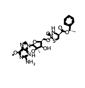 COc1nc(N)nc2c1ncn2C1O[C@H](CO[P@]2(=O)N[C@@H](C(=O)O[C@@H](C)c3ccccc3)CS2)[C@@H](O)[C@@]1(C)O